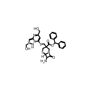 NC1C(=O)N2CC(CSC3=CC(CO)=NC4=CN(CO)NN43)(C(=O)OC(c3ccccc3)c3ccccc3)CS[C@H]12